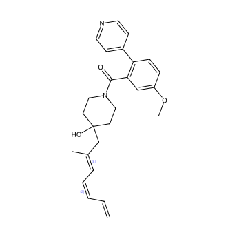 C=C/C=C\C=C(/C)CC1(O)CCN(C(=O)c2cc(OC)ccc2-c2ccncc2)CC1